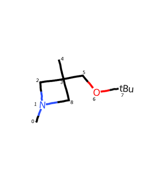 CN1CC(C)(COC(C)(C)C)C1